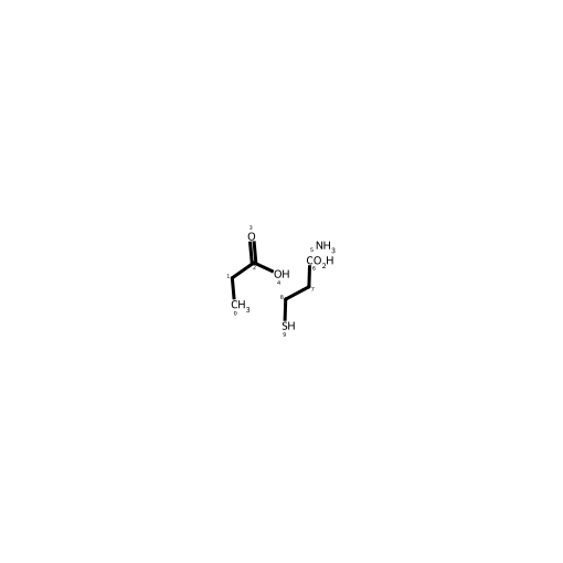 CCC(=O)O.N.O=C(O)CCS